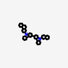 C1=CCC2C(=C1)c1cc(-c3ccc4c(c3)c3ccccc3n4-c3ccc4ccccc4c3)ccc1N2c1ccc2c(ccc3ccccc32)c1